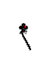 CCCCCCCCCCCCCCCCCCN(C)CC(COC(c1ccccc1)(c1ccccc1)c1ccccc1)OC(=O)N(C)C